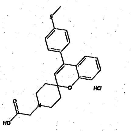 CSc1ccc(C2=CC3(CCN(CC(=O)O)CC3)Oc3ccccc32)cc1.Cl